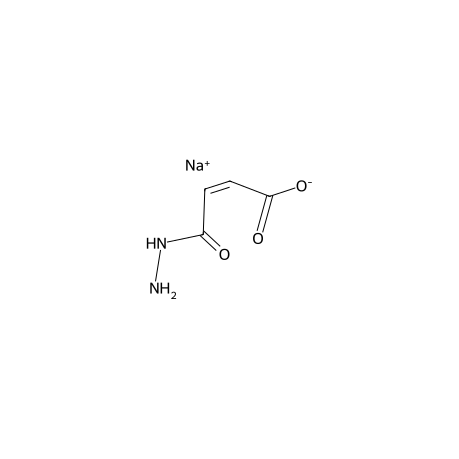 NNC(=O)/C=C\C(=O)[O-].[Na+]